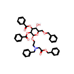 O=C(CN(CCO[C@@H]1OC(COCc2ccccc2)[C@@H](O)C(OC(=O)c2ccccc2)C1OC(=O)c1ccccc1)Cc1ccccc1)OCc1ccccc1